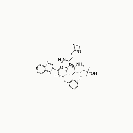 CC(C)(O)CC[C@H](C[C@@H](OC(=O)[C@@H](N)CCC(N)=O)[C@H](Cc1cccc(F)c1)NC(=O)c1cnc2ccccc2n1)C(N)=O